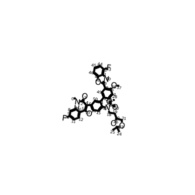 CNC(=O)c1c(-c2ccc(F)cc2)oc2cc(N(CCC3COC(C)(C)O3)S(C)(=O)=O)c(-c3ccc(OC)c(-c4nc5c(F)cccc5o4)c3)cc12